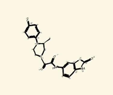 C[C@H]1CN(C(=O)C(=O)Nc2ccc3[nH]c(=O)oc3c2)CCN1c1ccc(F)cc1